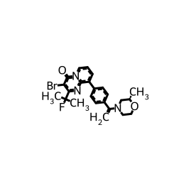 C=C(c1ccc(-c2cccn3c(=O)c(Br)c(C(C)(C)F)nc23)cc1)N1CCO[C@H](C)C1